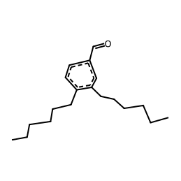 CCCCCCc1ccc(C=O)cc1CCCCCC